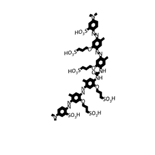 Cc1cc(NC(=O)Nc2cc(C)c(N=Nc3cc(C)c(N=Nc4ccc(N(C)C)cc4S(=O)(=O)O)cc3OCCCS(=O)(=O)O)cc2OCCCS(=O)(=O)O)c(OCCCS(=O)(=O)O)cc1N=Nc1cc(C)c(N=Nc2ccc(N(C)C)cc2S(=O)(=O)O)cc1OCCCS(=O)(=O)O